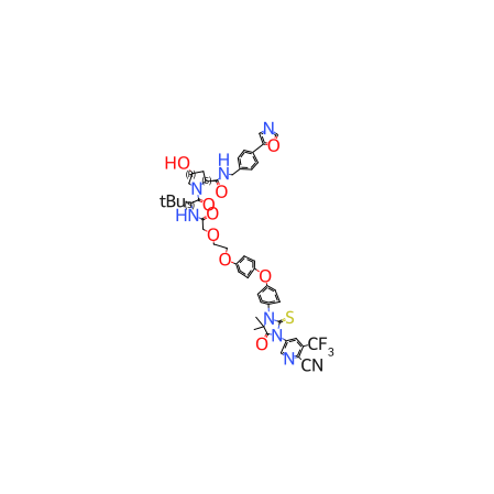 CC(C)(C)[C@H](NC(=O)COCCOc1ccc(Oc2ccc(N3C(=S)N(c4cnc(C#N)c(C(F)(F)F)c4)C(=O)C3(C)C)cc2)cc1)C(=O)N1C[C@H](O)C[C@H]1C(=O)NCc1ccc(-c2cnco2)cc1